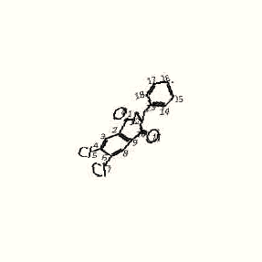 O=C1c2cc(Cl)c(Cl)cc2C(=O)N1c1cc[c]cc1